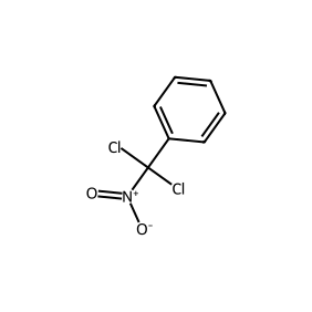 O=[N+]([O-])C(Cl)(Cl)c1ccccc1